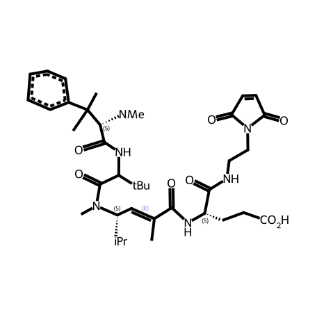 CN[C@H](C(=O)NC(C(=O)N(C)[C@H](/C=C(\C)C(=O)N[C@@H](CCC(=O)O)C(=O)NCCN1C(=O)C=CC1=O)C(C)C)C(C)(C)C)C(C)(C)c1ccccc1